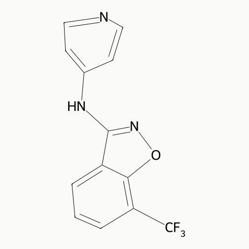 FC(F)(F)c1cccc2c(Nc3ccncc3)noc12